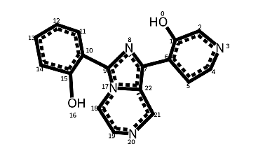 Oc1cnccc1-c1nc(-c2ccccc2O)n2ccncc12